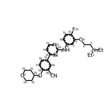 CCN(CC)CCOc1cc(Nc2nccc(-c3ccc(OC4CCOCC4)c(C#N)c3)n2)ccc1F